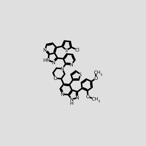 COc1ccc(-c2n[nH]c3ncc(C4CN(c5ncccc5-c5n[nH]c6nccc(-c7ccc(Cl)s7)c56)CCO4)c(-c4ccsc4)c23)c(OC)c1